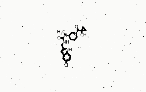 CN(C(=O)NCc1cc2cc(Cl)ccc2[nH]1)[C@@H]1CCCN(C(=O)C2(C)CC2)C1